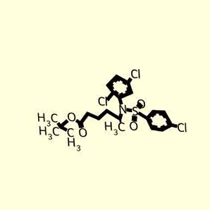 C[C@H](CCCC(=O)OC(C)(C)C)N(c1cc(Cl)ccc1Cl)S(=O)(=O)c1ccc(Cl)cc1